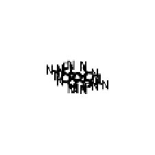 N#CC(C#N)=C1C(c2cnc(C#N)nc2F)=C(C#N)c2c1cc1c(c2C#N)C(=C(C#N)C#N)C(c2cnc(C#N)nc2F)=C1C#N